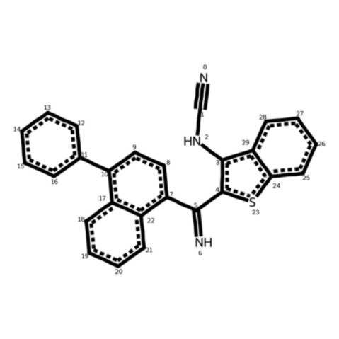 N#CNc1c(C(=N)c2ccc(-c3ccccc3)c3ccccc23)sc2ccccc12